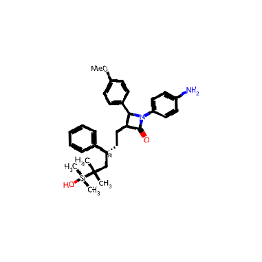 COc1ccc(C2C(CC[C@H](CC(C)(C)[Si](C)(C)O)c3ccccc3)C(=O)N2c2ccc(N)cc2)cc1